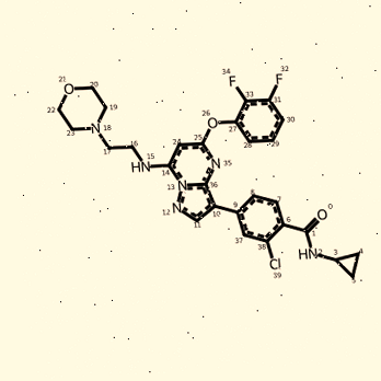 O=C(NC1CC1)c1ccc(-c2cnn3c(NCCN4CCOCC4)cc(Oc4cccc(F)c4F)nc23)cc1Cl